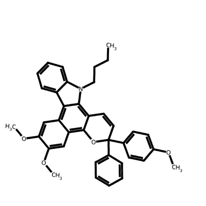 CCCCn1c2ccccc2c2c3cc(OC)c(OC)cc3c3c(c21)C=CC(c1ccccc1)(c1ccc(OC)cc1)O3